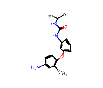 CCC(CC)NC(=O)Nc1cccc(Oc2ccc(N)cc2C)c1